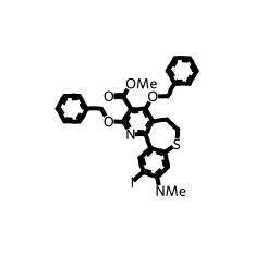 CNc1cc2c(cc1I)-c1nc(OCc3ccccc3)c(C(=O)OC)c(OCc3ccccc3)c1CCS2